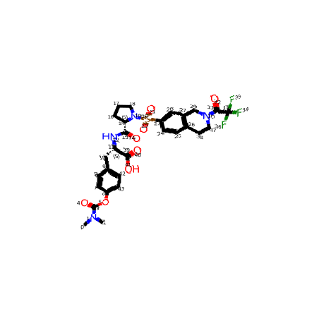 CN(C)C(=O)Oc1ccc(C[C@H](NC(=O)[C@@H]2CCCN2S(=O)(=O)c2ccc3c(c2)CN(C(=O)C(F)(F)F)CC3)C(=O)O)cc1